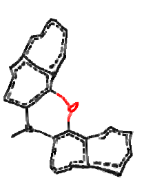 CB1c2ccc3ccccc3c2Oc2c1ccc1ccccc21